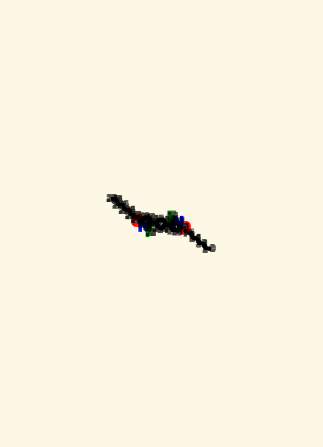 CCCCCCCCOc1ccc(-c2ccc(-c3ccc(OCCCCCCCC)nc3F)cc2)c(F)n1